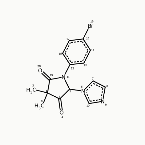 CC1(C)C(=O)C(n2ccnc2)N(c2ccc(Br)cc2)C1=O